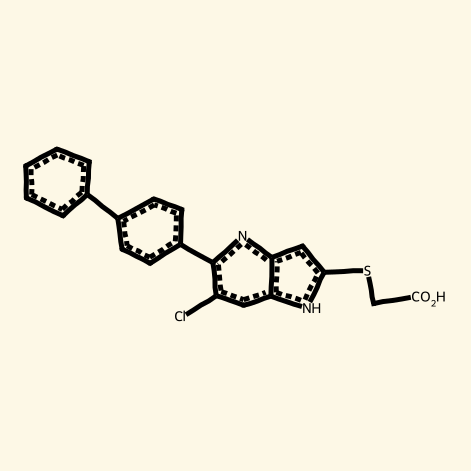 O=C(O)CSc1cc2nc(-c3ccc(-c4ccccc4)cc3)c(Cl)cc2[nH]1